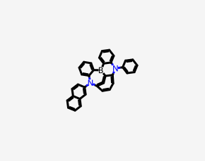 C1=C2B3c4ccccc4N(c4ccc5ccccc5c4)C=1C=CC=C2N(c1ccccc1)c1ccccc13